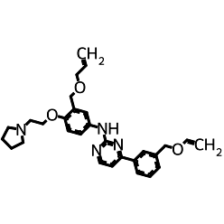 C=CCOCc1cc(Nc2nccc(-c3cccc(COC=C)c3)n2)ccc1OCCN1CCCC1